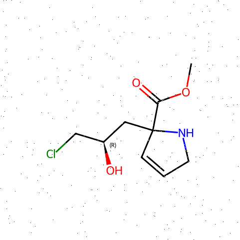 COC(=O)C1(C[C@@H](O)CCl)C=CCN1